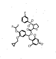 O=C(O[C@@H](Cc1c(Cl)c[n+]([O-])cc1Cl)c1ccc(OC(F)F)c(OCC2CC2)c1)C1SCCN1S(=O)(=O)c1cccc(F)c1